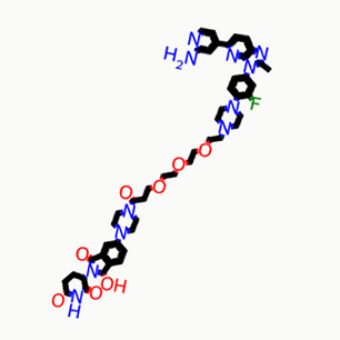 Cc1nc2ccc(-c3ccnc(N)c3)nc2n1-c1ccc(N2CCN(CCOCCOCCOCCC(=O)N3CCN(c4ccc5c(c4)C(=O)N(C4CCC(=O)NC4=O)C5O)CC3)CC2)c(F)c1